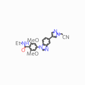 CCNC(=O)c1c(OC)cc(-n2cnc3cc(-c4cnn(CC#N)c4)ccc32)cc1OC